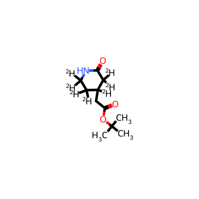 [2H]C1([2H])NC(=O)C([2H])([2H])C([2H])(CC(=O)OC(C)(C)C)C1([2H])[2H]